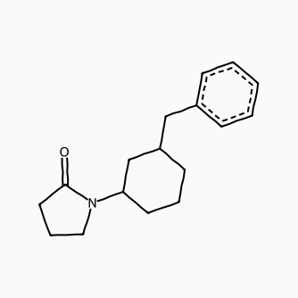 O=C1CCCN1C1CCCC(Cc2ccccc2)C1